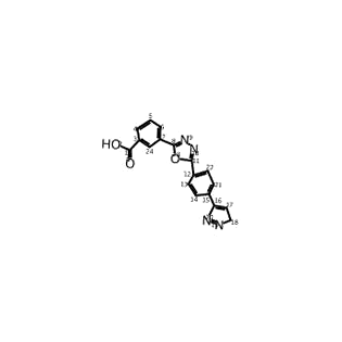 O=C(O)c1cccc(-c2nnc(-c3ccc(C4=CCN=N4)cc3)o2)c1